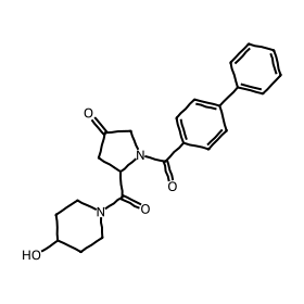 O=C1CC(C(=O)N2CCC(O)CC2)N(C(=O)c2ccc(-c3ccccc3)cc2)C1